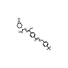 CC/C(=N\OC(=N)[C@@H]1CCC2NC2C1)c1ccc(/C(C)=N/OCc2ccc(C(C)(C)C)cc2)cc1